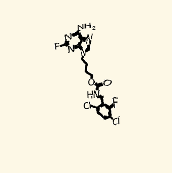 Nc1nc(F)nc2c1ncn2CCCCOC(=O)NCc1c(Cl)ccc(Cl)c1F